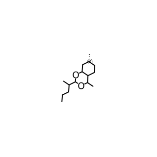 CCCC(C)C1OC(C)C2CC[C@@H](C)CC2O1